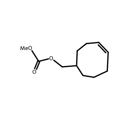 COC(=O)OCC1CCC=CCCC1